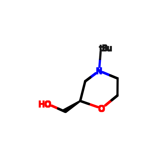 CC(C)(C)N1CCO[C@@H](CO)C1